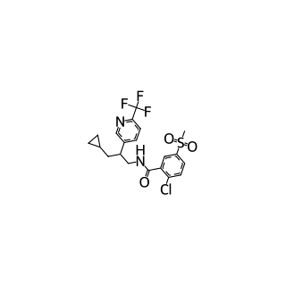 CS(=O)(=O)c1ccc(Cl)c(C(=O)NCC(CC2CC2)c2ccc(C(F)(F)F)nc2)c1